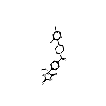 Cc1cnc(N2CCN(C(=O)c3ccc([C@]4(CF)NC(=O)NC4=O)cc3)CC2)c(C)c1